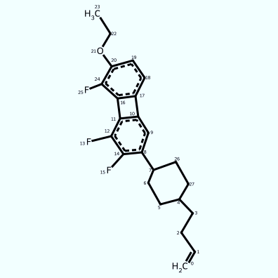 C=CCCC1CCC(c2cc3c(c(F)c2F)-c2c-3ccc(OCC)c2F)CC1